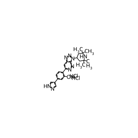 CC1(C)CC(n2nnc3cc(-c4ccc(-c5cn[nH]c5)cc4O)nnc32)CC(C)(C)N1.Cl.Cl